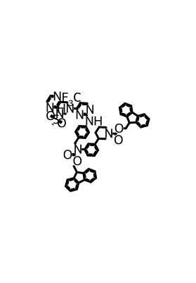 CN(c1nccnc1CNc1nc(Nc2ccc(CN(C(=O)OCC3c4ccccc4-c4ccccc43)c3cccc(C4CCCN(C(=O)OCC5c6ccccc6-c6ccccc65)C4)c3)cc2)ncc1C(F)(F)F)S(C)(=O)=O